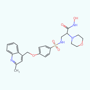 Cc1cc(COc2ccc(S(=O)(=O)NCC(C(=O)NO)N3CCOCC3)cc2)c2ccccc2n1